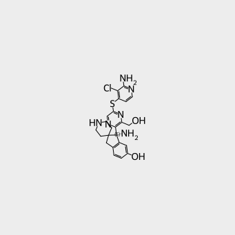 Nc1nccc(Sc2cnc([C@@]3(N)c4cc(O)ccc4CC34CCNCC4)c(CO)n2)c1Cl